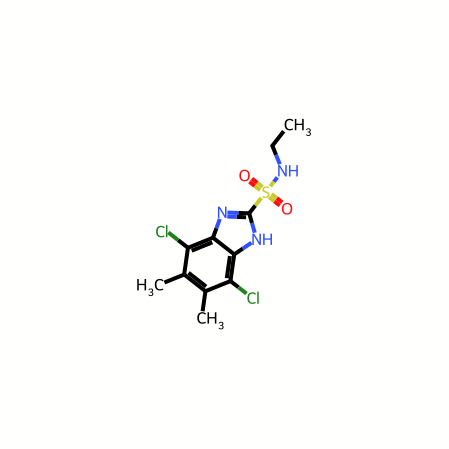 CCNS(=O)(=O)c1nc2c(Cl)c(C)c(C)c(Cl)c2[nH]1